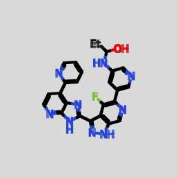 CCC(O)Nc1cncc(-c2ncc3[nH]nc(-c4nc5c(-c6ccccn6)ccnc5[nH]4)c3c2F)c1